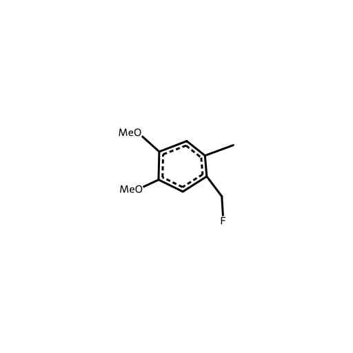 COc1cc(C)c(CF)cc1OC